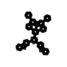 c1ccc(-c2ccc3c(c2)c2cc(-c4ccccc4)ccc2n3-c2c(-c3ccccc3)cc(-c3nc(-c4ccc5c(c4)sc4ccccc45)nc(-c4ccc5c(c4)sc4ccccc45)n3)cc2-c2ccccc2)cc1